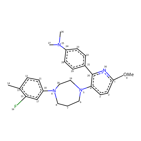 COc1ccc(N2CCCN(c3ccc(C)c(F)c3)CC2)c(-c2ccc(N(C)C)cc2)n1